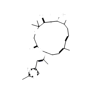 CC1=C/C[C@@H](/C(C)=C/c2coc(C)n2)OC(=O)CCC(C)(C)C(=O)[C@H](C)[C@@H](O)C(C)C\C=C\1